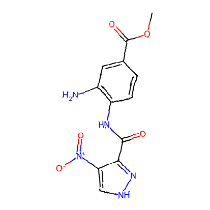 COC(=O)c1ccc(NC(=O)c2n[nH]cc2[N+](=O)[O-])c(N)c1